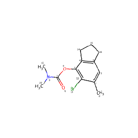 Cc1cc2c(c(OC(=O)N(C)C)c1Br)CCC2